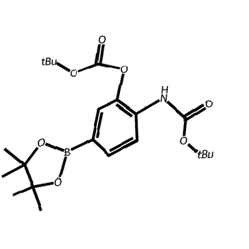 CC(C)(C)OC(=O)Nc1ccc(B2OC(C)(C)C(C)(C)O2)cc1OC(=O)OC(C)(C)C